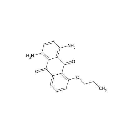 CCCOc1cccc2c1C(=O)c1c(N)ccc(N)c1C2=O